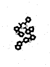 CC1=C(c2cccc3oc4ccccc4c23)NC(c2ccc(-c3cccc4oc5cc(-c6ccc7ccccc7c6)ccc5c34)c3ccccc23)N=C(c2ccccc2)C1